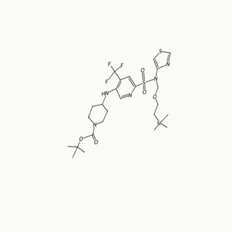 CC(C)(C)OC(=O)N1CCC(Nc2cnc(S(=O)(=O)N(COCC[Si](C)(C)C)c3cscn3)cc2C(F)(F)F)CC1